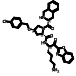 NCCCC[C@H](NC(=O)[C@@H]1C[C@@H](OCc2ccc(Cl)cc2)CN1C(=O)[C@H]1Cc2ccccc2CN1)C(=O)c1nc2ccccc2o1